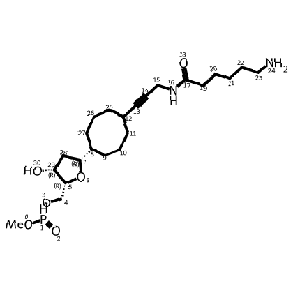 CO[PH](=O)OC[C@H]1O[C@@H](C2CCCC(C#CCNC(=O)CCCCCN)CCC2)C[C@H]1O